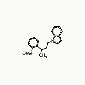 COc1ccccc1C(C)CCn1ccc2ccccc21